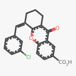 O=C(O)c1ccc2oc3c(c(=O)c2c1)CCC/C3=C/c1cccc(Cl)c1